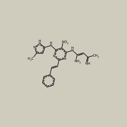 CC(=N)/C=C(\N)Nc1nc(/C=C/c2ccccc2)nc(Nc2cc(C)n[nH]2)c1[N+](=O)[O-]